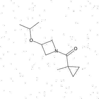 CC(C)OC1CN(C(=O)C2(C)CC2)C1